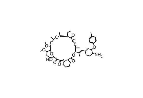 CCC1/C=C(\C)CC(C)CC(OC)C2OC(O)(C(=O)C(=O)N3CCCCC3C(=O)OC(C(C)=CC3CCC(N)C(Oc4ccc(C)cc4)C3)C(C)CCC1=O)C(C)CC2OC